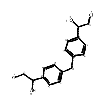 OC(CCl)c1ccc(Cc2ccc(C(O)CCl)cc2)cc1